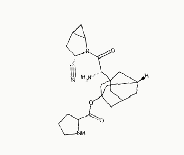 N#C[C@@H]1CC2CC2N1C(=O)[C@@H](N)C12CC3C[C@H](CC(OC(=O)C4CCCN4)(C3)C1)C2